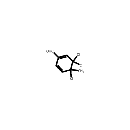 CC1(Cl)C=CC([C]=O)=CC1(Cl)Cl